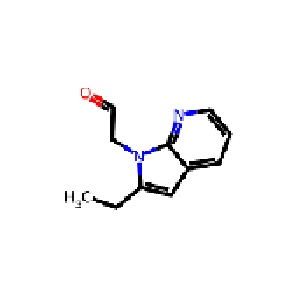 CCc1cc2cccnc2n1CC=O